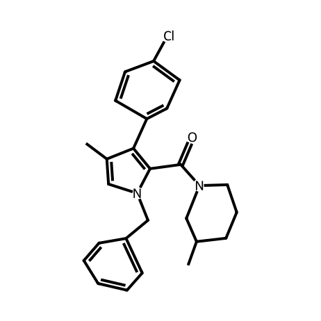 Cc1cn(Cc2ccccc2)c(C(=O)N2CCCC(C)C2)c1-c1ccc(Cl)cc1